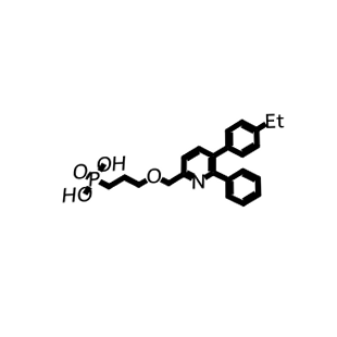 CCc1ccc(-c2ccc(COCCCP(=O)(O)O)nc2-c2ccccc2)cc1